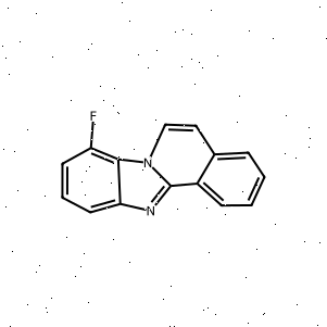 Fc1cccc2nc3c4ccccc4ccn3c12